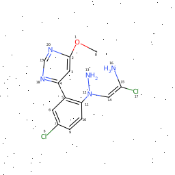 COc1cc(-c2cc(Cl)ccc2N(N)/C=C(\N)Cl)ncn1